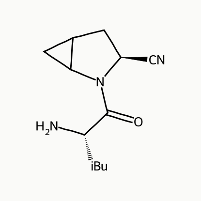 CCC(C)[C@H](N)C(=O)N1C2CC2C[C@H]1C#N